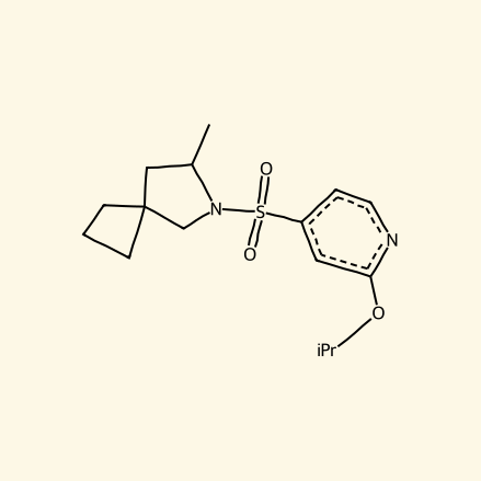 CC(C)Oc1cc(S(=O)(=O)N2CC3(CCC3)CC2C)ccn1